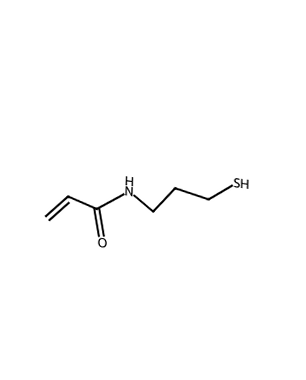 C=CC(=O)NCCCS